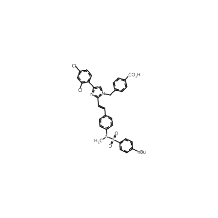 CCCCc1ccc(S(=O)(=O)N(C)c2ccc(/C=C/c3nc(-c4ccc(Cl)cc4Cl)cn3Cc3ccc(C(=O)O)cc3)cc2)cc1